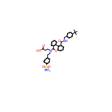 CC(C)(C)c1ccc(CNC(=O)c2ccccc2-c2ccccc2C(=O)N(CCC(=O)O)CCc2ccc(S(N)(=O)=O)cc2)cc1